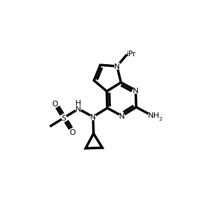 CC(C)n1ccc2c(N(NS(C)(=O)=O)C3CC3)nc(N)nc21